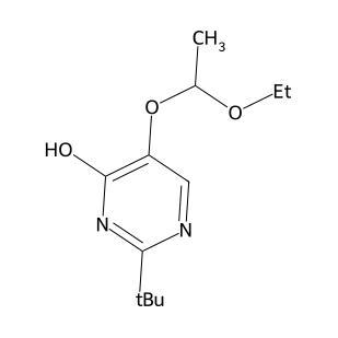 CCOC(C)Oc1cnc(C(C)(C)C)nc1O